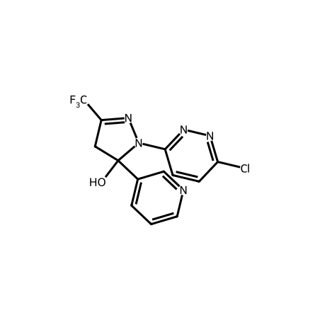 OC1(c2cccnc2)CC(C(F)(F)F)=NN1c1ccc(Cl)nn1